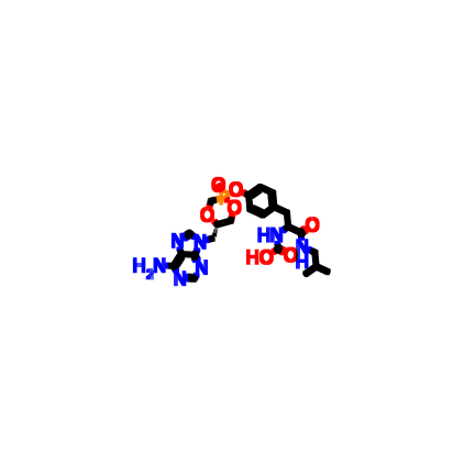 CC(C)CNC(=O)C(Cc1ccc(OP2(=O)CO[C@@H](Cn3cnc4c(N)ncnc43)CO2)cc1)NC(=O)O